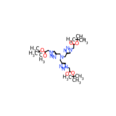 CC(C)(C)OC(=O)Cn1cc(CN(Cc2cn(CC(=O)OC(C)(C)C)nn2)Cc2cn(CC(=O)OC(C)(C)C)nn2)nn1